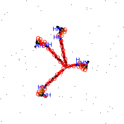 CCN[C@H]1C[C@H](C)S(=O)(=O)c2oc(S(=O)(=O)NCCOCCOCC(COCCOCCOCCOCCOCCOCCNS(=O)(=O)c3cc4c(s3)S(=O)(=O)[C@@H](C)C[C@@H]4NCC)(COCCOCCOCCOCCOCCOCCNS(=O)(=O)c3cc4c(s3)S(=O)(=O)[C@@H](C)C[C@@H]4NCC)COCCOCCOCCOCCOCCOCCNS(=O)(=O)c3cc4c(s3)S(=O)(=O)[C@@H](C)C[C@@H]4NCC)cc21